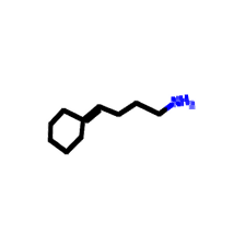 NCCCC=C1CCCCC1